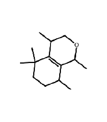 CC1CCC(C)(C)C2=C1C(C)OCC2C